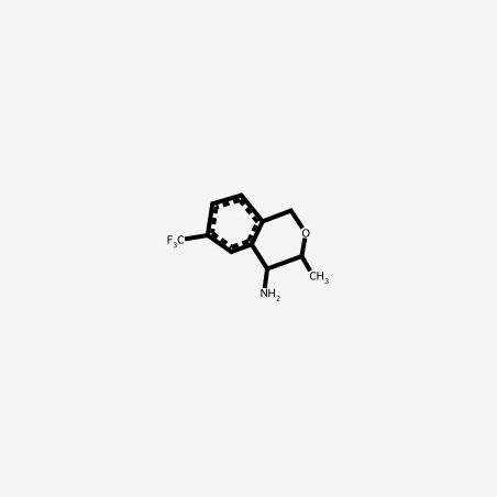 CC1OCc2ccc(C(F)(F)F)cc2C1N